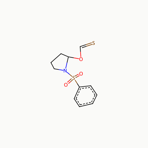 O=S(=O)(c1ccccc1)N1CCCC1OC=S